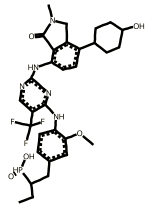 CCC(Cc1ccc(Nc2nc(Nc3ccc(C4CCC(O)CC4)c4c3C(=O)N(C)C4)ncc2C(F)(F)F)c(OC)c1)[PH](=O)O